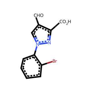 O=Cc1cn(-c2ccccc2Br)nc1C(=O)O